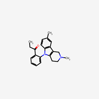 CCC(=O)c1ccccc1-n1c2c(c3cc(C)ccc31)CN(C)CC2